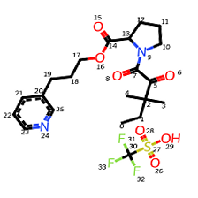 CCC(C)(C)C(=O)C(=O)N1CCCC1C(=O)OCCCc1cccnc1.O=S(=O)(O)C(F)(F)F